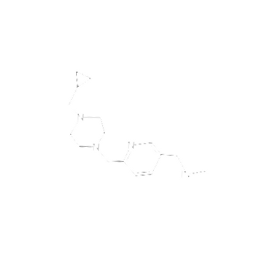 CNCc1ccc(CN2CCN(CC3CC3)CC2)nc1